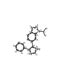 CC(C)n1nnc2ccc(-c3[nH]cnc3-c3ccccc3)cc21